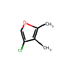 Cc1occ(Cl)c1C